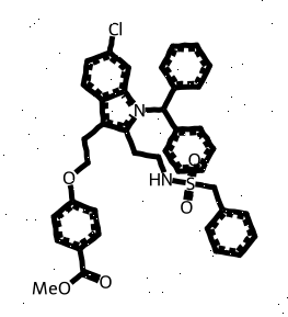 COC(=O)c1ccc(OCCc2c(CCNS(=O)(=O)Cc3ccccc3)n(C(c3ccccc3)c3ccccc3)c3cc(Cl)ccc23)cc1